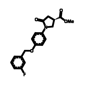 COC(=O)[C@H]1CC(=O)N(c2ccc(OCc3cccc(F)c3)cc2)C1